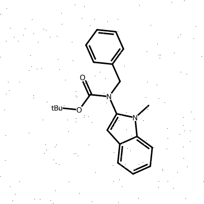 Cn1c(N(Cc2ccccc2)C(=O)OC(C)(C)C)cc2ccccc21